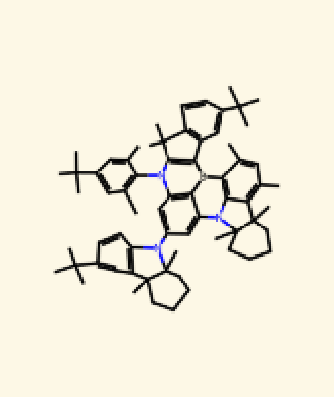 Cc1cc(C)c2c3c1B1C4=C(N(c5c(C)cc(C(C)(C)C)cc5C)c5cc(N6c7ccc(C(C)(C)C)cc7C7(C)CCCCC67C)cc(c51)N3C1(C)CCCCC21C)C(C)(C)c1ccc(C(C)(C)C)cc14